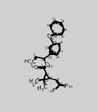 C=CC(OC(=O)C1C(C=C(F)F)C1(C)C)c1cccc(Oc2ccccc2)c1